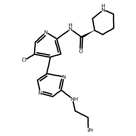 CC(C)CCNc1cncc(-c2cc(NC(=O)[C@@H]3CCCNC3)ncc2Cl)n1